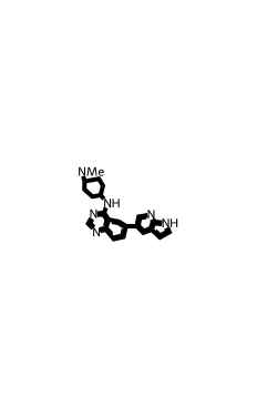 CNC1CCC(Nc2ncnc3ccc(-c4cnc5[nH]ccc5c4)cc23)CC1